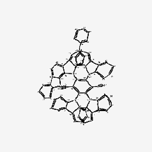 N#Cc1c(-n2c3ccccc3c3ccccc32)c(-n2c3ccccc3c3ccccc32)c(C#N)c(-n2c3ccc(-c4ccccc4)cc3c3ccc4c5ccccc5oc4c32)c1-n1c2ccccc2c2ccccc21